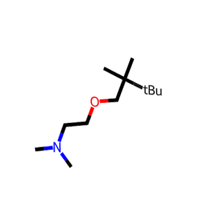 CN(C)CCOCC(C)(C)C(C)(C)C